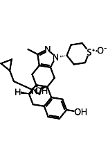 Cc1nn([C@H]2CC[S@@+]([O-])CC2)c2c1C[C@@]1(O)[C@H]3Cc4ccc(O)cc4[C@@]1(CCN3CC1CC1)C2